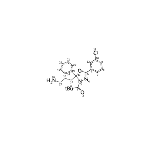 CC(C)(C)C(=O)N1N=C(c2cccc(Cl)c2)OC1(CCCN)c1ccccc1